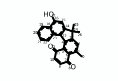 Cc1cc2c(c3c1C(=O)C=CC3=O)-c1c(cc(O)c3ccccc13)C2(C)C